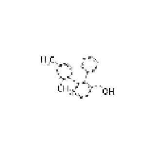 Cc1ccc(-c2nccc(CO)c2-c2ccccc2)c(C)c1